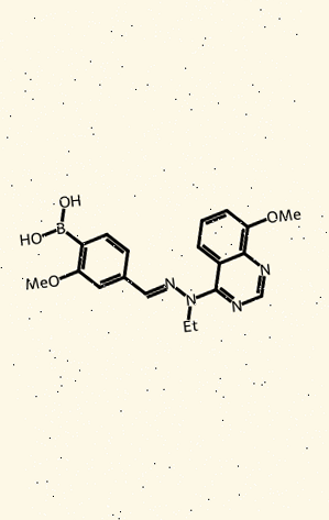 CCN(/N=C/c1ccc(B(O)O)c(OC)c1)c1ncnc2c(OC)cccc12